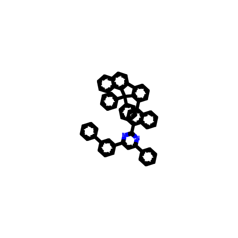 c1ccc(-c2cccc(-c3cc(-c4ccccc4)nc(-c4ccc(-c5cccc6c5C(c5ccccc5)(c5ccccc5)c5c-6ccc6ccccc56)c5ccccc45)n3)c2)cc1